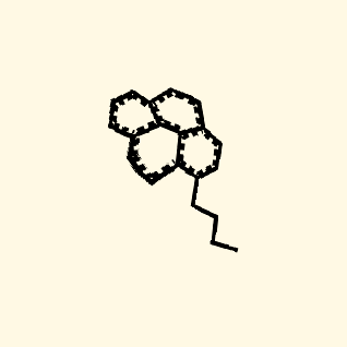 CCCCc1ccc2ccc3cccc4ccc1c2c34